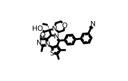 CC[C@@](C(=O)O)(C1N=C(c2ccc(-c3cccc(C#N)c3)cc2)c2c(sc(C)c2C)-n2c(C)nnc21)N1CCOCC1